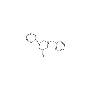 O=C1C=C(c2ccccc2)CN(Cc2ccccc2)C1